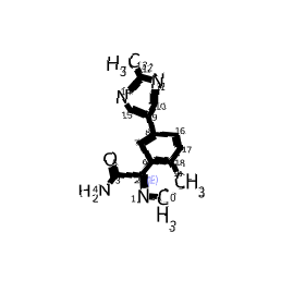 C/N=C(/C(N)=O)c1cc(-c2cnc(C)nc2)ccc1C